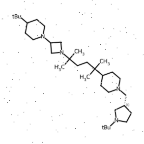 CC(C)(C)C1CCN(C2CN(C(C)(C)CCC(C)(C)C3CCN(C[C@@H]4CCN(C(C)(C)C)C4)CC3)C2)CC1